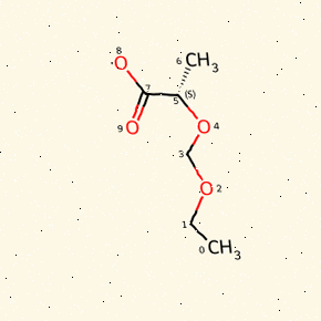 CCOCO[C@@H](C)C([O])=O